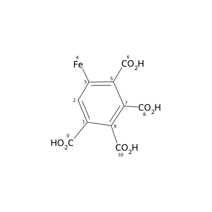 O=C(O)c1c[c]([Fe])c(C(=O)O)c(C(=O)O)c1C(=O)O